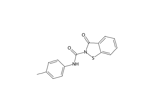 Cc1ccc(NC(=O)n2sc3ccccc3c2=O)cc1